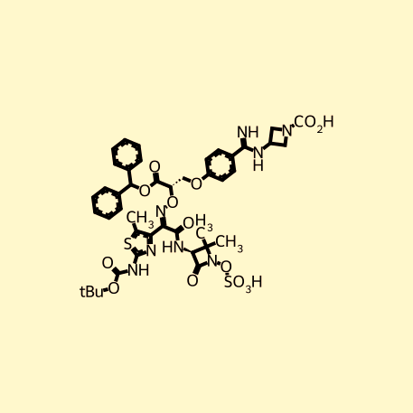 Cc1sc(NC(=O)OC(C)(C)C)nc1/C(=N/O[C@@H](COc1ccc(C(=N)NC2CN(C(=O)O)C2)cc1)C(=O)OC(c1ccccc1)c1ccccc1)C(=O)N[C@@H]1C(=O)N(OS(=O)(=O)O)C1(C)C